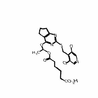 CC(OC(=O)CCCCC(=O)O)Oc1nc(SCc2c(Cl)cncc2Cl)nc2c1CCC2